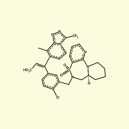 Cc1c(/C(=C/C(=O)O)c2ccc(Cl)c(CN3C[C@@H]4CCCCN4c4ncccc4S3(=O)=O)c2)ccn2c(C(F)(F)F)nnc12